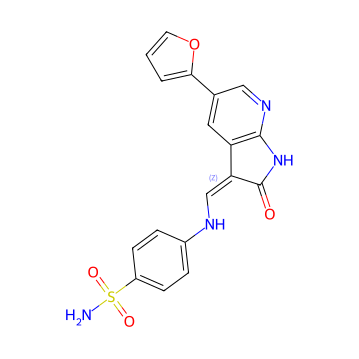 NS(=O)(=O)c1ccc(N/C=C2\C(=O)Nc3ncc(-c4ccco4)cc32)cc1